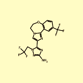 Nc1nc(-c2cn3c(n2)-c2cc(C(F)(F)F)ccc2OCC3)n(CC(F)(F)F)n1